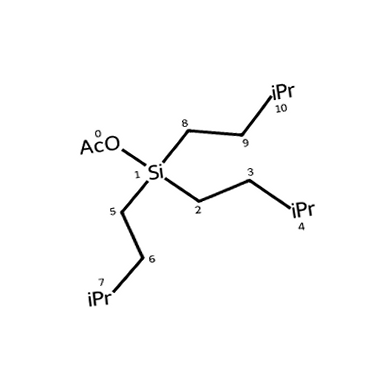 CC(=O)O[Si](CCC(C)C)(CCC(C)C)CCC(C)C